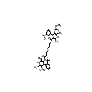 COC(=O)OC1=C(C)NC(C)=C(C(=O)OCCCCCCC(=O)OC2=C(C)NC(C)=C([N+](=O)[O-])C2c2ccccc2C(F)(F)F)C1c1cccc([N+](=O)[O-])c1